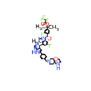 Cc1c(NC(=O)c2ccc(C(C)(C)OC(=O)C(F)(F)F)cc2F)cc(F)cc1-c1ncnc2[nH]c(-c3ccc(CN4CCC5(CC4)CNCCO5)cc3)cc12